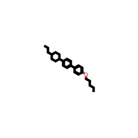 CCCCCOc1ccc(-c2ccc(C3CCC(CCC)CC3)cc2)cc1